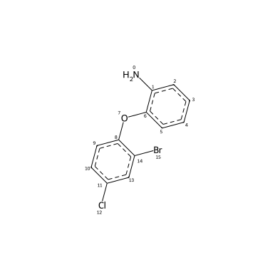 Nc1ccccc1Oc1ccc(Cl)cc1Br